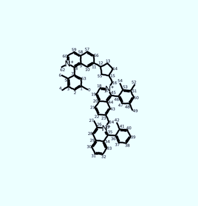 Cc1cc(C)c(C)c(-c2c3cc(C4CCC(C[n+]5ccc6ccc(C[n+]7c(C)cc8ccccc8c7-c7ccccc7C)cc6c5-c5cc(C)cc(C)c5C)C4)ccc3cc[n+]2C)c1